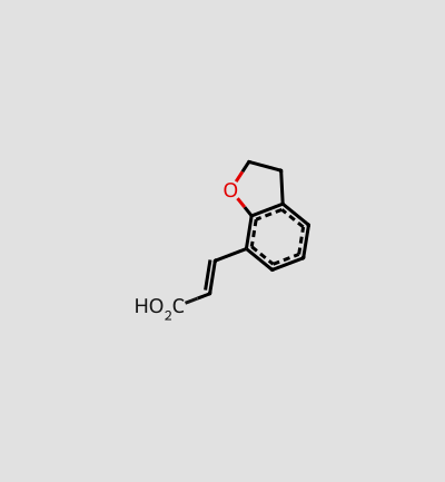 O=C(O)C=Cc1cccc2c1OCC2